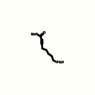 CCCCCCCCCCCCC#CC(=O)NC